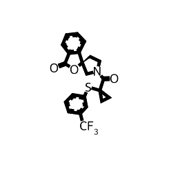 O=C1O[C@]2(CCN(C(=O)C3(Sc4cccc(C(F)(F)F)c4)CC3)C2)c2ccccc21